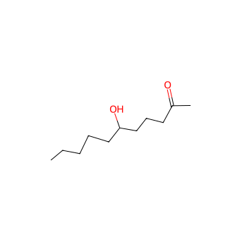 CCCCCC(O)CCCC(C)=O